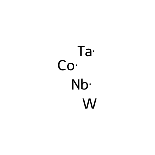 [Co].[Nb].[Ta].[W]